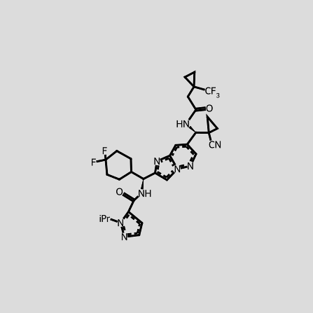 CC(C)n1nccc1C(=O)N[C@H](c1cn2ncc([C@@H](NC(=O)CC3(C(F)(F)F)CC3)C3(C#N)CC3)cc2n1)C1CCC(F)(F)CC1